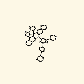 c1ccc(-c2ccc(-c3nc(-c4ccccc4)cc(N4c5cc6ccccc6cc5C5(c6cc7ccccc7cc64)c4ccsc4-c4sccc45)n3)cc2)cc1